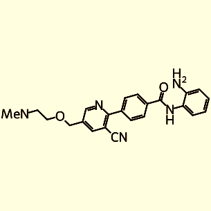 CNCCOCc1cnc(-c2ccc(C(=O)Nc3ccccc3N)cc2)c(C#N)c1